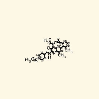 CC[C@@H](C)n1c(=O)c(NCC2CCN(SC)CC2)nc2c(C)nc(-c3c(C)ncnc3C3CC3)nc21